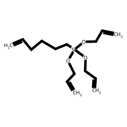 C=CCCCC[Si](OCC=C)(OCC=C)OCC=C